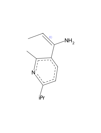 C/C=C(/N)c1ccc(C(C)C)nc1C